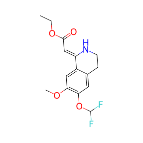 CCOC(=O)/C=C1\NCCc2cc(OC(F)F)c(OC)cc21